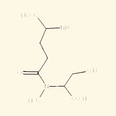 CN(C(=O)CCC(N)C(=O)O)C(C[SeH])C(=O)O